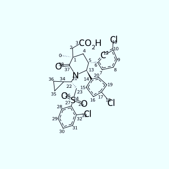 C[C@]1(CC(=O)O)C[C@H](c2cccc(Cl)c2)[C@@H](c2ccc(Cl)cc2)N([C@H](CS(=O)(=O)c2ccccc2Cl)C2CC2)C1=O